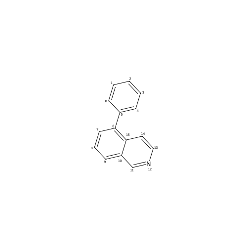 [c]1ccccc1-c1cccc2cnccc12